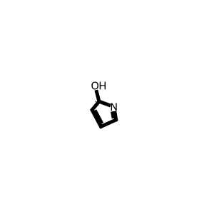 O[C]1C=CC=N1